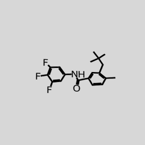 Cc1ccc(C(=O)Nc2cc(F)c(F)c(F)c2)cc1CC(C)(C)C